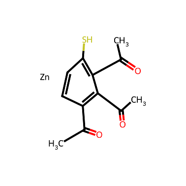 CC(=O)c1ccc(S)c(C(C)=O)c1C(C)=O.[Zn]